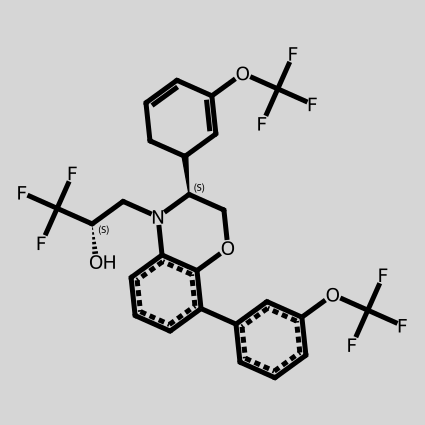 O[C@@H](CN1c2cccc(-c3cccc(OC(F)(F)F)c3)c2OC[C@@H]1C1C=C(OC(F)(F)F)C=CC1)C(F)(F)F